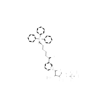 O=C(CCCCC[PH](c1ccccc1)(c1ccccc1)c1ccccc1)c1ccc[n+]([C@@H]2O[C@H](COP(=O)(O)O)[C@@H](O)[C@H]2O)c1